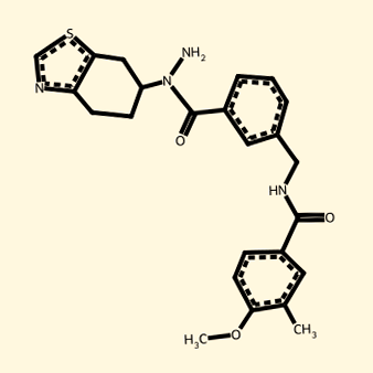 COc1ccc(C(=O)NCc2cccc(C(=O)N(N)C3CCc4ncsc4C3)c2)cc1C